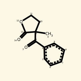 CC1(C(=O)c2ccccc2)CCOC1=O